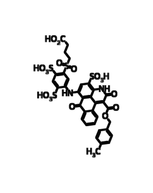 Cc1ccc(COC(=O)c2c3c4c(c(Nc5cc(S(=O)(=O)CCCC(=O)O)c(S(=O)(=O)O)cc5S(=O)(=O)O)cc(S(=O)(=O)O)c4[nH]c2=O)C(=O)c2ccccc2-3)cc1